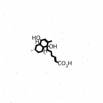 CC1=C[C@H](O)[C@H]2C[C@@H](C)C[C@@H](C)[C@@H]2[C@@]1(O)CCC/C=C/C(=O)O